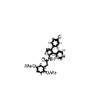 COc1ccc(OC)c(CC(=O)Nc2onc(-c3ccc(Cl)cc3)c2-c2ccncn2)c1